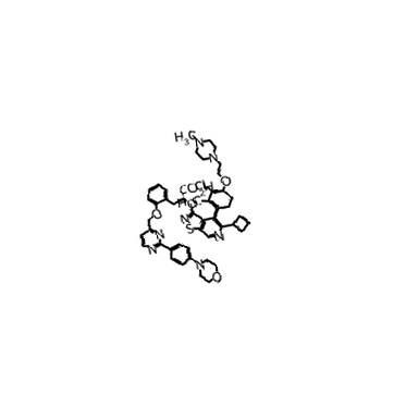 CC1=C(c2c(C3CCC3)ncc3snc(O[C@H](Cc4ccccc4OCc4ccnc(-c5ccc(N6CCOCC6)cc5)n4)C(=O)O)c23)CCC(OCCN2CCN(C)CC2)=C1Cl